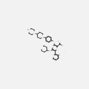 COc1cccnc1-c1nc(C(N)=O)c(Nc2ccc(N3CCC(N4CCN(C)CC4)CC3)cc2)nc1NC1CCOCC1